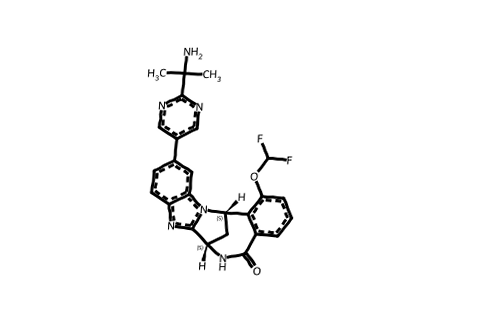 CC(C)(N)c1ncc(-c2ccc3nc4n(c3c2)[C@H]2C[C@@H]4NC(=O)c3cccc(OC(F)F)c32)cn1